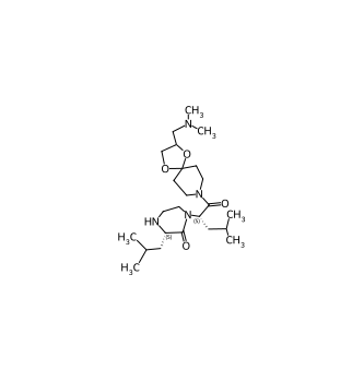 CC(C)C[C@@H]1NCCN([C@@H](CC(C)C)C(=O)N2CCC3(CC2)OCC(CN(C)C)O3)C1=O